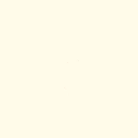 CCN1C(=O)C(C)(C)c2ccc(-c3nc4cc(C)ccc4[nH]3)cc21